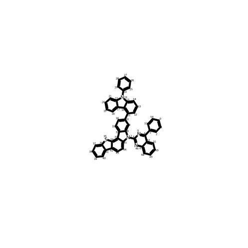 c1ccc(-c2nc(-n3c4cc(-c5cccc6c5c5ccccc5n6-c5ccccc5)ccc4c4c5sc6ccccc6c5ccc43)nc3ccccc23)cc1